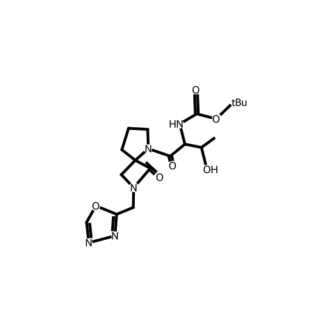 CC(O)C(NC(=O)OC(C)(C)C)C(=O)N1CCCC12CN(Cc1nnco1)C2=O